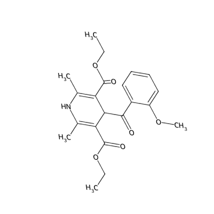 CCOC(=O)C1=C(C)NC(C)=C(C(=O)OCC)C1C(=O)c1ccccc1OC